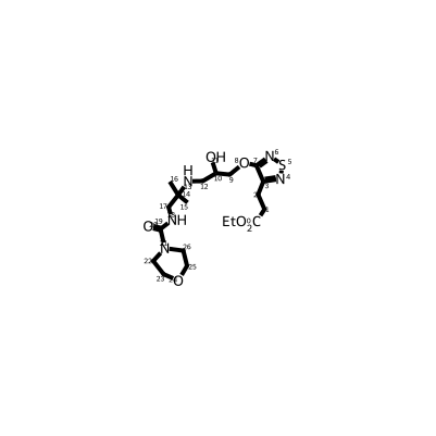 CCOC(=O)CCc1nsnc1OCC(O)CNC(C)(C)CNC(=O)N1CCOCC1